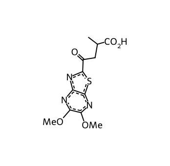 COc1nc2nc(C(=O)CC(C)C(=O)O)sc2nc1OC